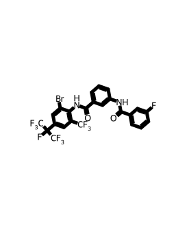 O=C(Nc1cccc(C(=O)Nc2c(Br)cc(C(F)(C(F)(F)F)C(F)(F)F)cc2C(F)(F)F)c1)c1cccc(F)c1